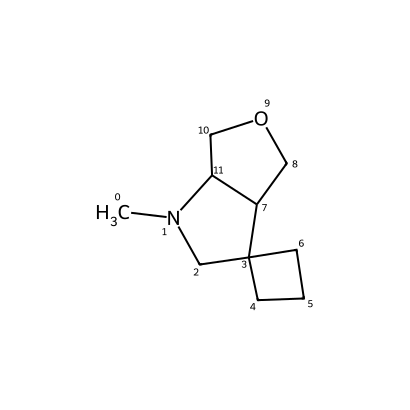 CN1CC2(CCC2)C2COCC21